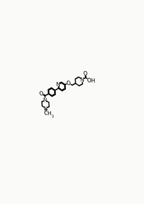 CN1CCN(C(=O)c2ccc(-c3ccc(OCC4CCN(C(=O)O)CC4)cn3)cc2)CC1